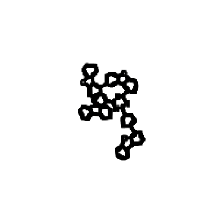 c1ccc(-c2nc(-c3ccc(-c4cccc5c4oc4ccccc45)cc3)nc(-c3cccc4oc5ccc(-c6cc(-n7c8ccccc8c8ccccc87)cc7oc8ccccc8c67)cc5c34)n2)cc1